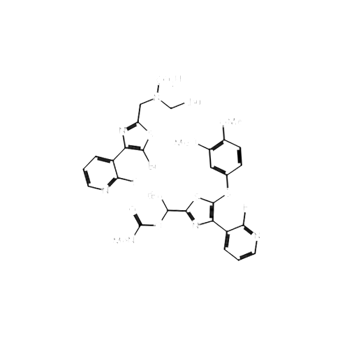 CC(C)(C)CN(Cc1nc(-c2cccnc2F)c(Br)s1)C(=O)O.CNC(=O)OC(c1nc(-c2cccnc2F)c(Sc2ccc(OC)c(OC)c2)s1)C(C)(C)C